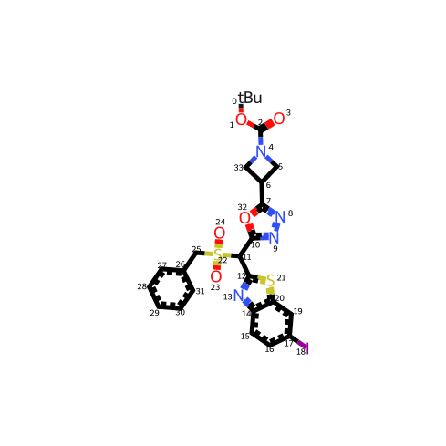 CC(C)(C)OC(=O)N1CC(c2nnc(C(c3nc4ccc(I)cc4s3)S(=O)(=O)Cc3ccccc3)o2)C1